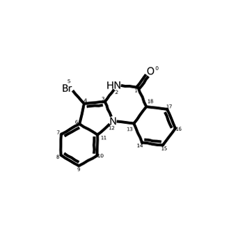 O=C1Nc2c(Br)c3ccccc3n2C2C=CC=CC12